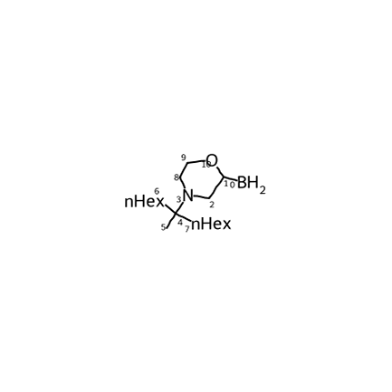 BC1CN(C(C)(CCCCCC)CCCCCC)CCO1